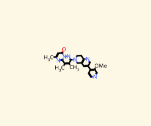 COc1cnccc1-c1cnc2c(c1)CN(c1nn3c(=O)cc(C)nc3c(C)c1C)CC2